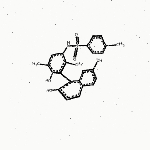 Cc1ccc(S(=O)(=O)Nc2cc(C)c(O)c(-c3c(O)ccc4ccc(O)cc34)c2C)cc1